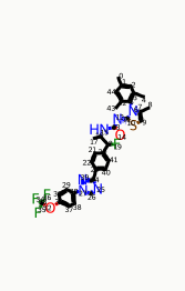 Cc1cc(C)c(-n2c(C)cs/c2=N\C(=O)NC(C)C(F)c2ccc(-c3ncn(-c4ccc(OC(F)(F)F)cc4)n3)cc2)c(C)c1